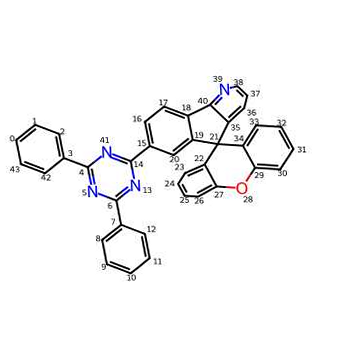 c1ccc(-c2nc(-c3ccccc3)nc(-c3ccc4c(c3)C3(c5ccccc5Oc5ccccc53)c3cccnc3-4)n2)cc1